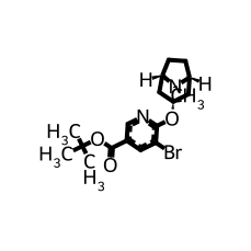 CN1[C@@H]2CC[C@H]1C[C@@H](Oc1ncc(C(=O)OC(C)(C)C)cc1Br)C2